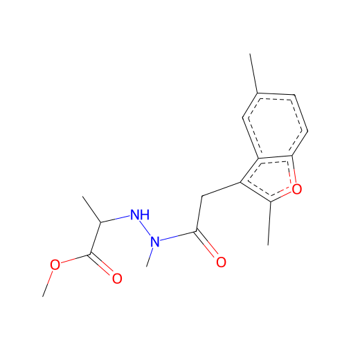 COC(=O)C(C)NN(C)C(=O)Cc1c(C)oc2ccc(C)cc12